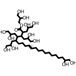 O=C(OCC(O)CO)C(CC(O)CO)C(CC(O)CO)C(CC(O)CO)C(CCC/C=C/CCCCCCCCCC(O)CO)CC(O)CO